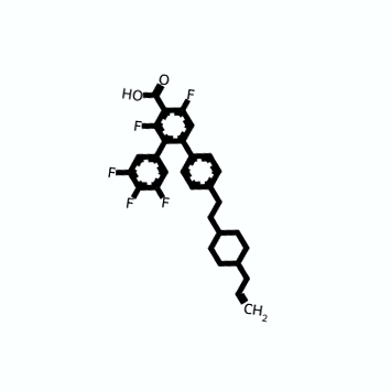 C=CCC1CCC(CCc2ccc(-c3cc(F)c(C(=O)O)c(F)c3-c3cc(F)c(F)c(F)c3)cc2)CC1